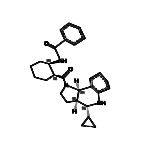 O=C(N[C@@H]1CCCC[C@@H]1C(=O)N1CC[C@@H]2[C@@H](C3CC3)Nc3ccccc3[C@@H]21)c1ccccc1